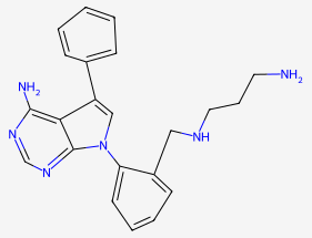 NCCCNCc1ccccc1-n1cc(-c2ccccc2)c2c(N)ncnc21